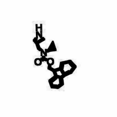 O=C(OCC1c2ccccc2-c2ccccc21)N(CC1CNC1)C1CC1